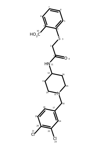 O=C(CSc1ccccc1C(=O)O)NC1CCN(Cc2ccc(Cl)c(Cl)c2)CC1